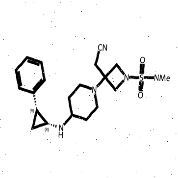 CNS(=O)(=O)N1CC(CC#N)(N2CCC(N[C@@H]3C[C@@H]3c3ccccc3)CC2)C1